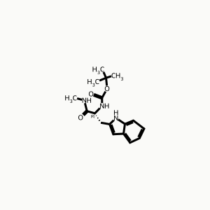 CNC(=O)[C@@H](Cc1cc2ccccc2[nH]1)NC(=O)OC(C)(C)C